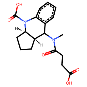 CN(C(=O)CCC(=O)O)C1c2ccccc2N(C(=O)O)[C@@H]2CCC[C@H]12